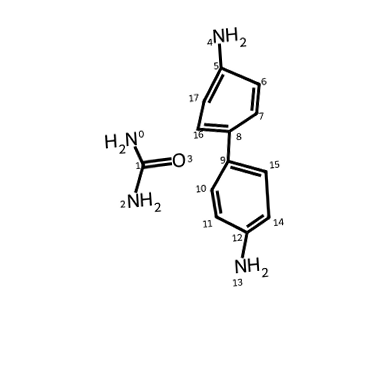 NC(N)=O.Nc1ccc(-c2ccc(N)cc2)cc1